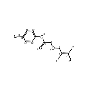 O=C(COCC(I)=C(I)I)Oc1ccc(Cl)cc1